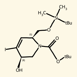 CC(C)(C)OC(=O)N1C[C@@H](O)C(I)=C[C@H]1CO[Si](C)(C)C(C)(C)C